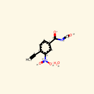 C#Cc1ccc(C(=O)N=C=O)cc1[N+](=O)[O-].O